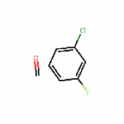 C=O.Fc1cccc(Cl)c1